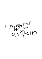 Cn1c(C=O)cnc1[N+](=O)[O-].Nc1ncc(-c2ccc(F)cc2)[nH]1